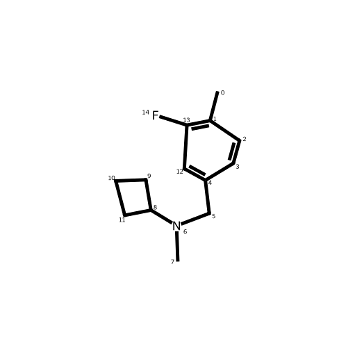 Cc1ccc(CN(C)C2CCC2)cc1F